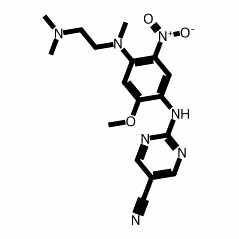 COc1cc(N(C)CCN(C)C)c([N+](=O)[O-])cc1Nc1ncc(C#N)cn1